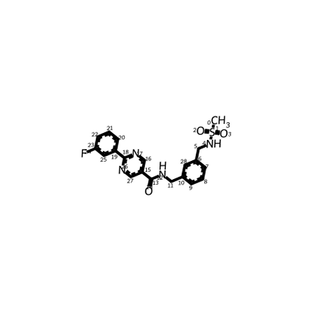 CS(=O)(=O)NCc1cccc(CNC(=O)c2cnc(-c3cccc(F)c3)nc2)c1